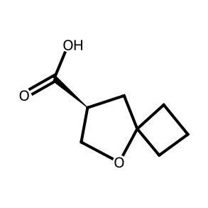 O=C(O)[C@@H]1COC2(CCC2)C1